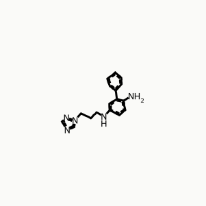 Nc1ccc(NCCCn2cncn2)cc1-c1ccccc1